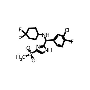 CS(=O)(=O)c1c[nH]c(C(NC2CCC(F)(F)CC2)c2ccc(F)c(Cl)c2)n1